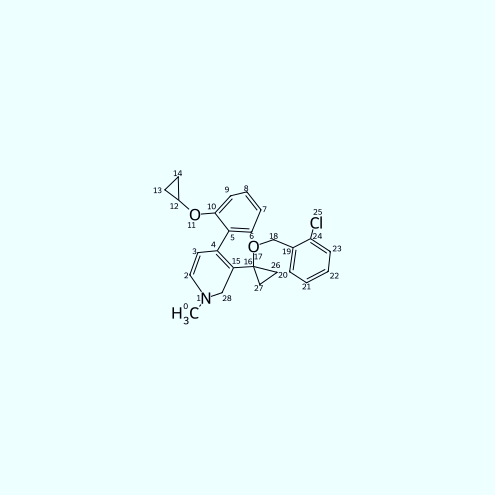 CN1C=CC(c2ccccc2OC2CC2)=C(C2(OCc3ccccc3Cl)CC2)C1